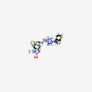 O=C1Cc2cc(CCCN3CCN(c4nsc5ccccc45)CC3)c(Cl)cc2N1